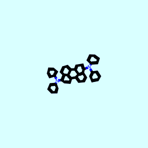 c1ccc(N(c2ccccc2)c2ccc3c4cccc5c(N(c6ccccc6)c6ccccc6)ccc(c6cccc2c63)c54)cc1